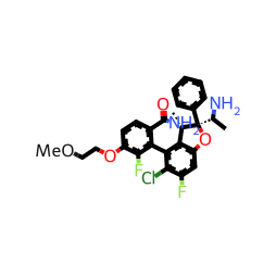 COCCOc1ccc(C(N)=O)c(-c2c(Cl)c(F)cc3c2[C@H](C)[C@](c2ccccc2)(C(C)N)O3)c1F